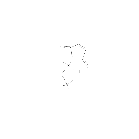 CC(C)(CC(C)(C)N1C(=O)C=CC1=O)C(=O)O